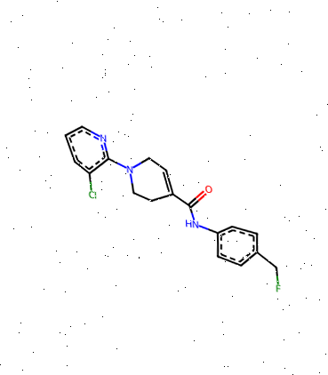 O=C(Nc1ccc(CF)cc1)C1=CCN(c2ncccc2Cl)CC1